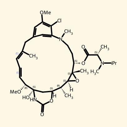 COc1cc2cc(c1Cl)N(C)CC[C@H](OC(=O)[C@H](C)N(C)C(C)C)[C@]1(C)O[C@H]1[C@H](C)[C@@H]1C[C@@](O)(NC(=O)O1)[C@H](OC)/C=C/C=C(\C)C2